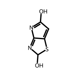 OC1=NC2=NC(O)SC2=C1